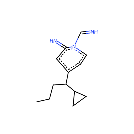 CCCC(c1ccn(C=N)c(=N)c1)C1CC1